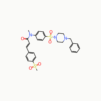 CN(C(=O)/C=C/c1ccc(S(C)(=O)=O)cc1)c1ccc(S(=O)(=O)N2CCN(Cc3ccccc3)CC2)cc1